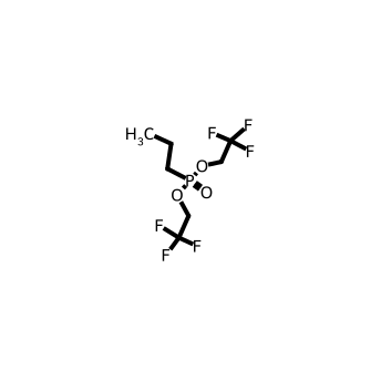 CCCP(=O)(OCC(F)(F)F)OCC(F)(F)F